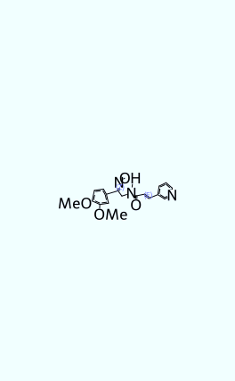 COc1ccc(/C(CN(C)C(=O)/C=C/c2cccnc2)=N/O)cc1OC